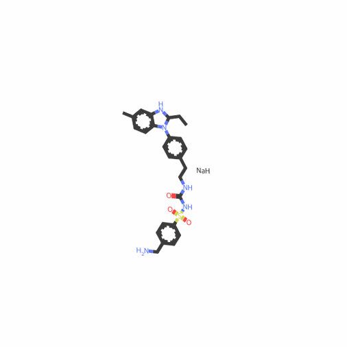 CCC1Nc2cc(C)ccc2N1c1ccc(CCNC(=O)NS(=O)(=O)c2ccc(CN)cc2)cc1.[NaH]